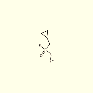 CC(C)OP(=O)(F)CC1CC1